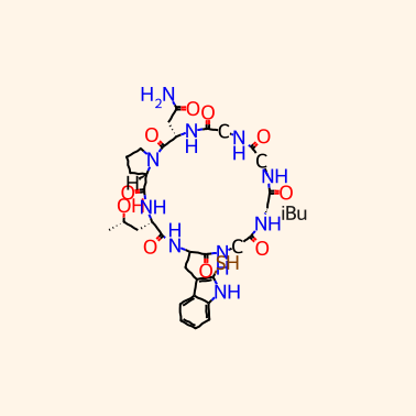 CC[C@H](C)[C@@H]1NC(=O)CNC(=O)C(Cc2c(S)[nH]c3ccccc23)NC(=O)[C@H](C[C@H](C)O)NC(=O)[C@@H]2CCCN2C(=O)[C@H](CC(N)=O)NC(=O)CNC(=O)CNC1=O